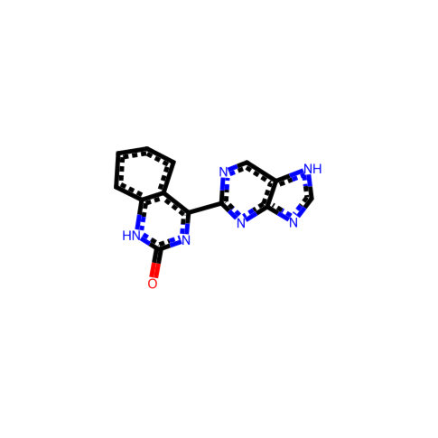 O=c1nc(-c2ncc3[nH]cnc3n2)c2ccccc2[nH]1